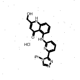 CC(C)n1cnnc1-c1cccc(Nc2cccc3[nH]c(CO)cc(=O)c23)n1.Cl